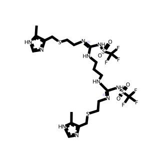 Cc1[nH]cnc1CSCC/N=C(\NCCCN/C(=N\CCSCc1nc[nH]c1C)NS(=O)(=O)C(F)(F)F)NS(=O)(=O)C(F)(F)F